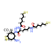 NC1CC(NC(=O)[C@H](CCCCNC(=O)CCCCCS)NC(=O)CCCCCS)C(C(=O)O)CC2SSC2C1